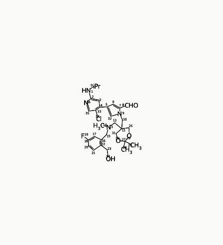 CC(C)Nc1cc(-c2cc(C=O)n(CC3(CN(C)Cc4cc(F)ccc4CO)COC(C)(C)OC3)c2)c(Cl)cn1